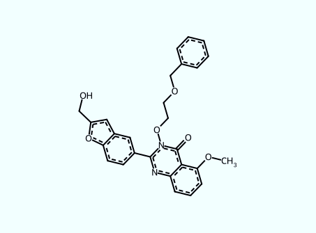 COc1cccc2nc(-c3ccc4oc(CO)cc4c3)n(OCCOCc3ccccc3)c(=O)c12